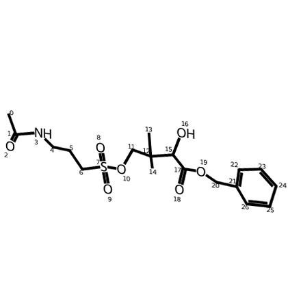 CC(=O)NCCCS(=O)(=O)OCC(C)(C)C(O)C(=O)OCc1ccccc1